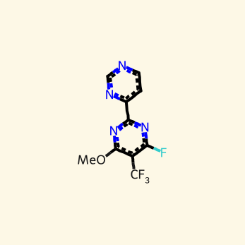 COc1nc(-c2ccncn2)nc(F)c1C(F)(F)F